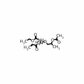 C=CC(=O)O.CCOC(N)=O.COCC(C)OC(C)=O